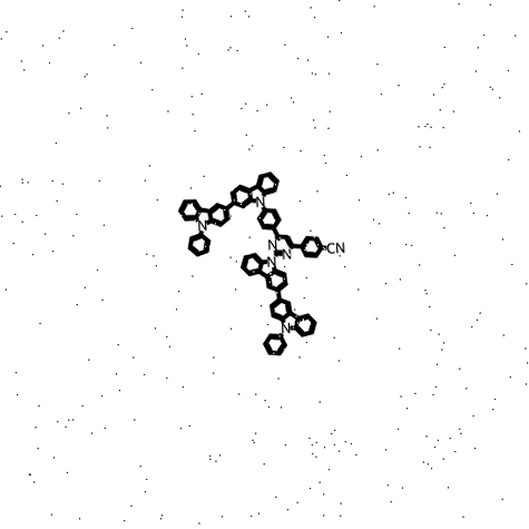 N#Cc1ccc(-c2cc(-c3ccc(-n4c5ccccc5c5ccc(-c6ccc7c(c6)c6ccccc6n7-c6ccccc6)cc54)cc3)nc(-n3c4ccccc4c4cc(-c5ccc6c(c5)c5ccccc5n6-c5ccccc5)ccc43)n2)cc1